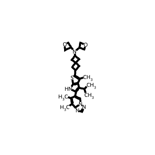 Cc1c(-c2[nH]c3sc(C4CC5(C4)CC(N(C4COC4)C4COC4)C5)c(C)c3c2C(C)C)cn2ncnc2c1C